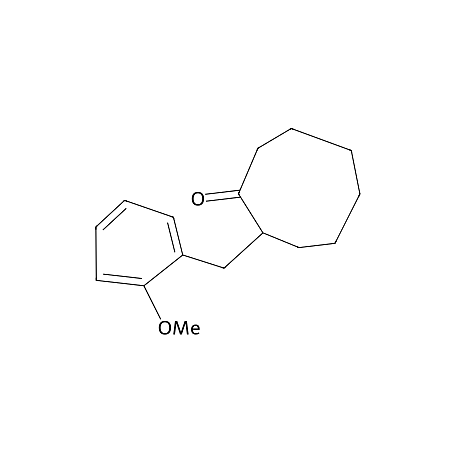 COc1ccccc1CC1CCCCCCC1=O